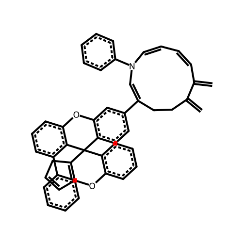 C=C1/C=C\C=C/N(c2ccccc2)/C=C(/c2ccc3c(c2)Oc2cccc(-c4ccccc4)c2C32C3=C(C=CC3)Oc3ccccc32)CCC1=C